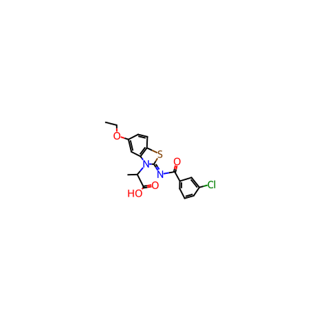 CCOc1ccc2s/c(=N\C(=O)c3cccc(Cl)c3)n(C(C)C(=O)O)c2c1